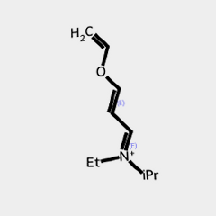 C=CO/C=C/C=[N+](\CC)C(C)C